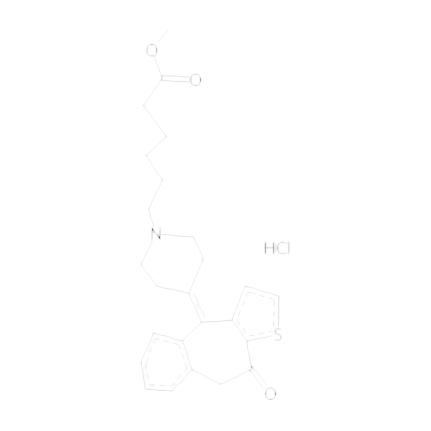 COC(=O)CCCCCN1CCC(=C2c3ccccc3CC(=O)c3sccc32)CC1.Cl